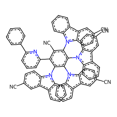 N#Cc1ccc2c(c1)c1ccccc1n2-c1c(C#N)c(-c2cccc(-c3ccccc3)n2)c(-n2c3ccccc3c3cc(C#N)ccc32)c(-n2c3ccccc3c3cc(C#N)ccc32)c1-n1c2ccccc2c2cc(C#N)ccc21